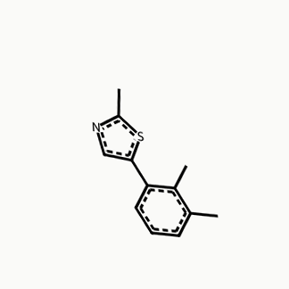 Cc1ncc(-c2cccc(C)c2C)s1